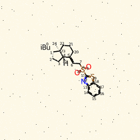 CC[C@H](C)[C@H]1CC[C@H]2/C(=C/CS(=O)(=O)c3nc4ccccc4s3)CCC[C@]12C